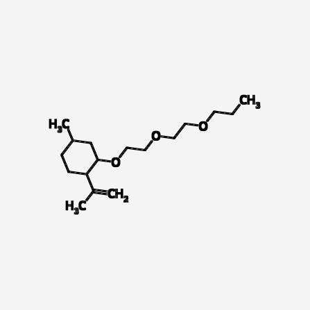 C=C(C)C1CCC(C)CC1OCCOCCOCCC